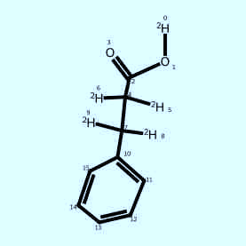 [2H]OC(=O)C([2H])([2H])C([2H])([2H])c1ccccc1